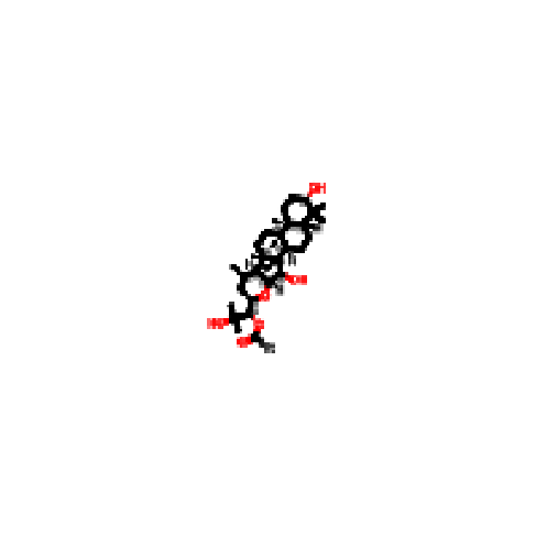 CCC(=O)O[C@@H]([C@H]1C[C@@H](C)[C@H]2[C@H](O1)[C@H](O)[C@@]1(C)[C@@H]3CC[C@H]4C(C)(C)[C@@H](O)CC[C@]4(C)[C@]3(C)CC[C@]21C)C(C)(C)O